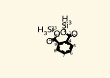 O=C(O[SiH3])c1ccccc1C(=O)O[SiH3]